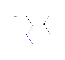 CCC(B(C)C)N(C)C